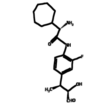 C[C@@H](c1ccc(NC(=O)[C@@H](N)C2CCCCCC2)c(F)c1)[C@@H](O)C=O